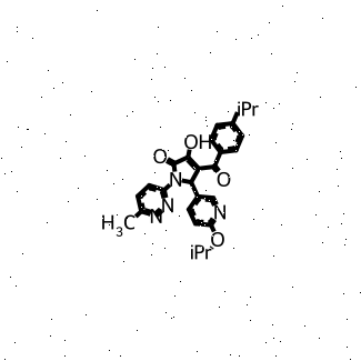 Cc1ccc(N2C(=O)C(O)=C(C(=O)c3ccc(C(C)C)cc3)C2c2ccc(OC(C)C)nc2)nn1